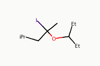 CCC(CC)OC(C)(I)CC(C)C